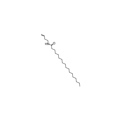 C=CCCNC(=O)CCCCCCCCCCCCCCCCC